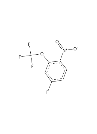 O=[N+]([O-])c1ccc(F)cc1OC(F)(F)F